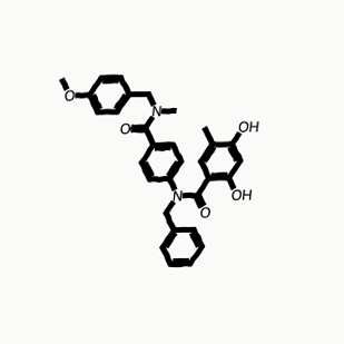 COc1ccc(CN(C)C(=O)c2ccc(N(Cc3ccccc3)C(=O)c3cc(C)c(O)cc3O)cc2)cc1